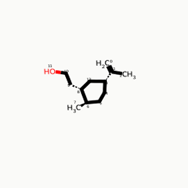 C=C(C)[C@@H]1CC[C@@H](C)[C@H](CCO)C1